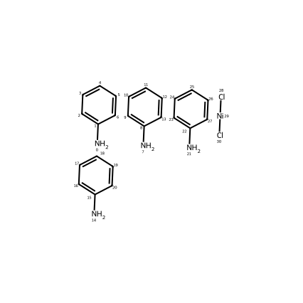 Nc1ccccc1.Nc1ccccc1.Nc1ccccc1.Nc1ccccc1.[Cl][Ni][Cl]